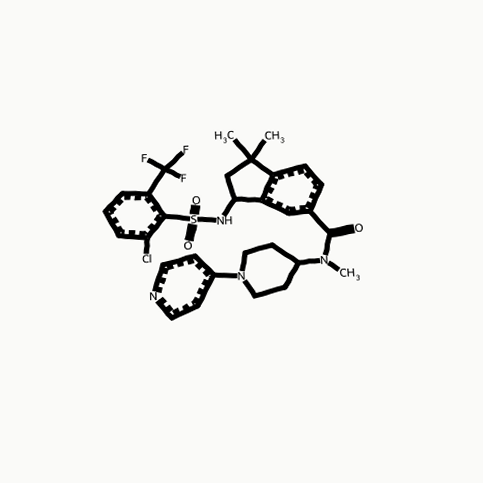 CN(C(=O)c1ccc2c(c1)C(NS(=O)(=O)c1c(Cl)cccc1C(F)(F)F)CC2(C)C)C1CCN(c2ccncc2)CC1